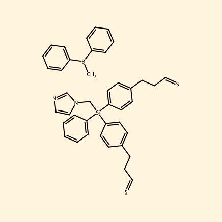 CB(c1ccccc1)c1ccccc1.S=CCCc1ccc([Si](Cn2ccnc2)(c2ccccc2)c2ccc(CCC=S)cc2)cc1